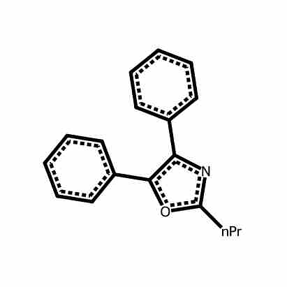 CCCc1nc(-c2ccccc2)c(-c2ccccc2)o1